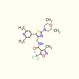 Cc1cc(-c2sc(N3C[C@@H](C)O[C@@H](C)C3)nc2CNC(=O)c2c(C)noc2C(F)(F)F)cc(C)n1